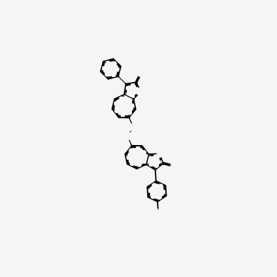 Cc1ccc(-c2c3cccc(SSc4cccc5c(-c6ccccc6)c(=O)oc-5c4)cc-3oc2=O)cc1